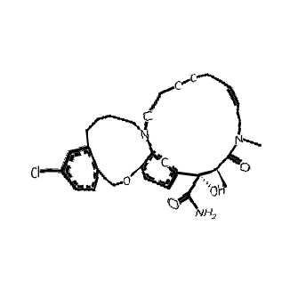 C[C@@H]1C(=O)N(C)C/C=C\CCCCCN2CCCCc3cc(Cl)ccc3COc3ccc(cc32)[C@]1(O)C(N)=O